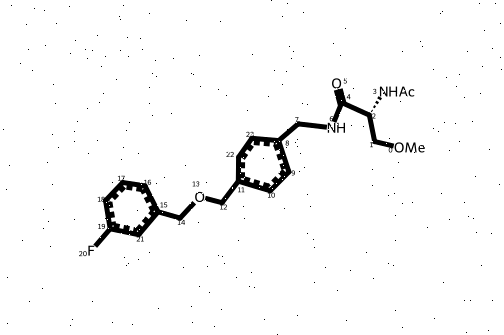 COC[C@@H](NC(C)=O)C(=O)NCc1ccc(COCc2cccc(F)c2)cc1